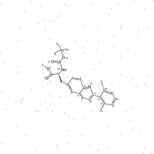 COC(=O)[C@H](Cc1ccc2nc(-c3c(C)cccc3C)ccc2c1)NC(=O)OC(C)(C)C